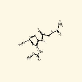 CC(C)(C)OC(=O)Nc1cc(N)ccc1NC(=O)CCC(N)=O